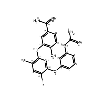 N=C(N)Nc1cccc(Oc2nc(Oc3cc(C(=N)N)ccc3O)c(F)cc2F)c1